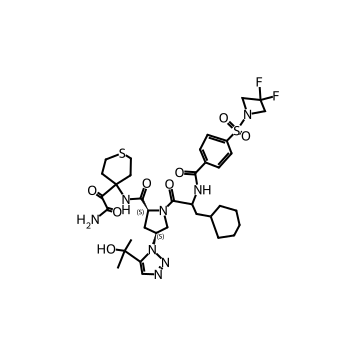 CC(C)(O)c1cnnn1[C@H]1C[C@@H](C(=O)NC2(C(=O)C(N)=O)CCSCC2)N(C(=O)C(CC2CCCCC2)NC(=O)c2ccc(S(=O)(=O)N3CC(F)(F)C3)cc2)C1